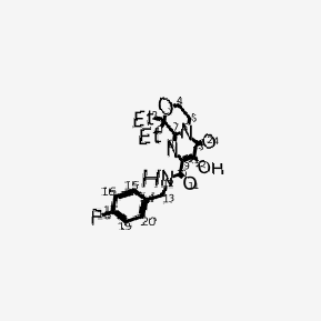 CCC1(CC)OCCn2c1nc(C(=O)NCc1ccc(F)cc1)c(O)c2=O